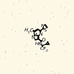 Cc1cc(-c2nccs2)nc2c(C(=O)NC(C3CC3)C(F)(F)F)cnn12